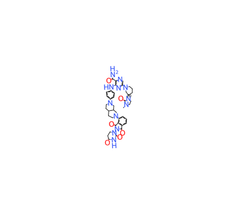 CN1CCN([C@@H]2CCCN(c3cnc(C(N)=O)c(Nc4ccc(N5CCC6CCN(c7cccc8c7C(=O)N(N7CCC(=O)NC7=O)C8=O)CC6C5)cc4)n3)C2)C1=O